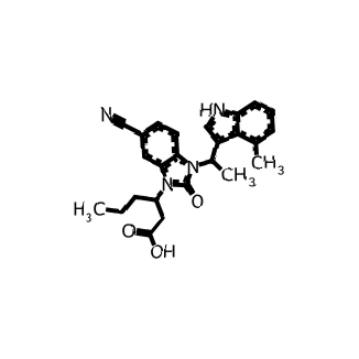 CCCC(CC(=O)O)n1c(=O)n(C(C)c2c[nH]c3cccc(C)c23)c2ccc(C#N)cc21